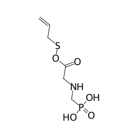 C=CCSOC(=O)CNCP(=O)(O)O